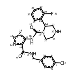 O=C(NCc1ccc(Cl)cc1)c1nnsc1NC(=O)N1CCNCC1c1ccccc1F